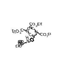 CCOC(=O)CCN1CCCN(CCC(=O)OCC)CCN(Cc2ccc(CNCCC[Si](OCC)(OCC)OCC)cc2)CCCN(CCC(=O)OCC)CC1